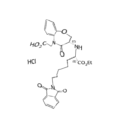 CCOC(=O)[C@H](CCCCCN1C(=O)c2ccccc2C1=O)N[C@H]1COc2ccccc2N(CC(=O)O)C1=O.Cl